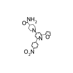 NC(=O)C1CCN(c2cc(-c3ccc([N+](=O)[O-])cc3)nc(-c3ccco3)c2)CC1